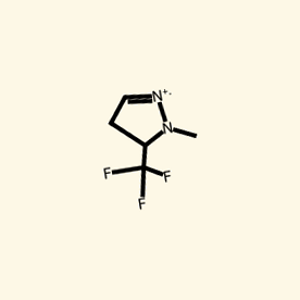 CN1[N+]=CCC1C(F)(F)F